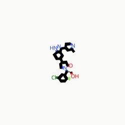 Cc1cc(-c2n[nH]c3ccc(-c4ccn([C@H](CO)c5cc(Cl)ccc5F)c(=O)c4)cc23)ccn1